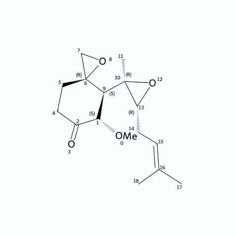 CO[C@@H]1C(=O)CC[C@]2(CO2)[C@H]1[C@@]1(C)O[C@@H]1CC=C(C)C